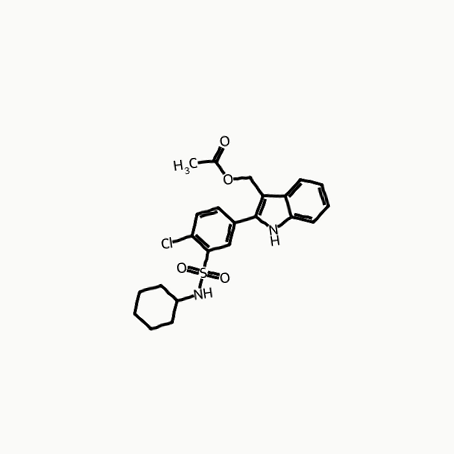 CC(=O)OCc1c(-c2ccc(Cl)c(S(=O)(=O)NC3CCCCC3)c2)[nH]c2ccccc12